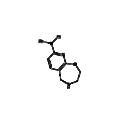 CCN(c1ccc2c(n1)OCCNC2)C(C)C